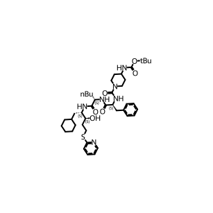 CCCC[C@H](NC(=O)[C@H](Cc1ccccc1)NC(=O)N1CCC(NC(=O)OC(C)(C)C)CC1)C(=O)N[C@@H](CC1CCCCC1)[C@@H](O)CCSc1ccccn1